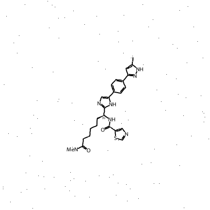 CNC(=O)CCCCC[C@H](NC(=O)c1cncs1)c1ncc(-c2ccc(-c3cc(C)[nH]n3)cc2)[nH]1